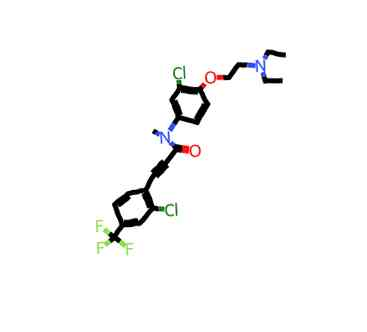 CCN(CC)CCOc1ccc(N(C)C(=O)C#Cc2ccc(C(F)(F)F)cc2Cl)cc1Cl